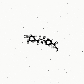 CCNC(=O)c1ccc(S(=O)(=O)NC(=O)c2ccc(Cl)c(C)c2)cc1